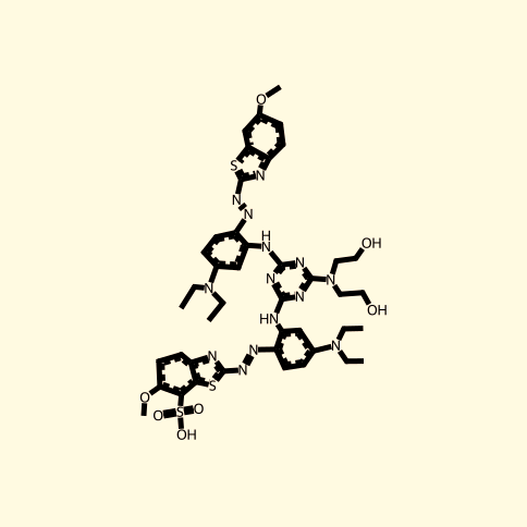 CCN(CC)c1ccc(/N=N/c2nc3ccc(OC)cc3s2)c(Nc2nc(Nc3cc(N(CC)CC)ccc3/N=N/c3nc4ccc(OC)c(S(=O)(=O)O)c4s3)nc(N(CCO)CCO)n2)c1